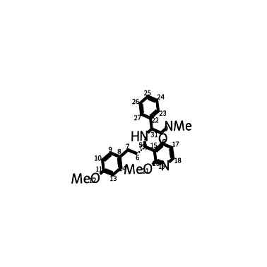 CNC(=O)C(N[C@@H](CCc1ccc(OC)cc1)c1cccnc1OC)c1ccccc1